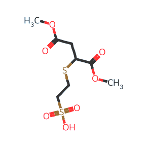 COC(=O)CC(SCCS(=O)(=O)O)C(=O)OC